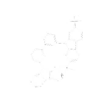 CC(C)(C)c1ccc2c3ccc(C(C)(C)C)cc3n(-c3cccc(-c4cccc(-n5c6ccccc6c6ccccc65)c4)c3)c2c1